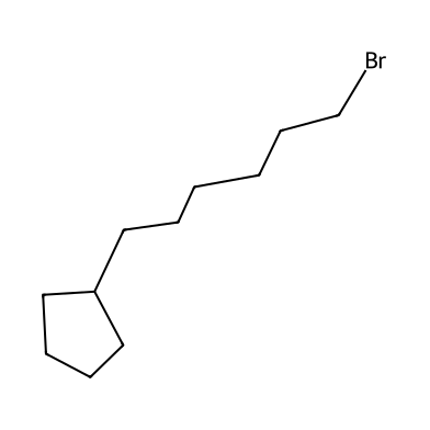 BrCCCCCCC1CCCC1